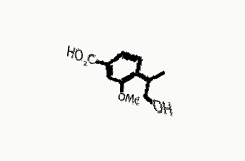 COc1cc(C(=O)O)ccc1C(C)CO